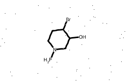 OC1CN(P)CCC1Br